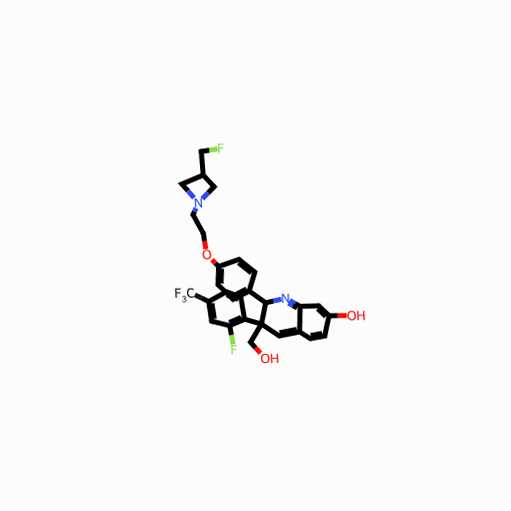 OCC1(c2ccc(C(F)(F)F)cc2F)C=c2ccc(O)cc2=NC1c1ccc(OCCN2CC(CF)C2)cc1